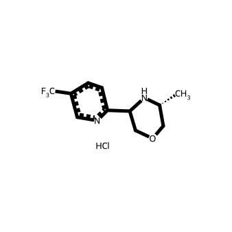 C[C@@H]1COCC(c2ccc(C(F)(F)F)cn2)N1.Cl